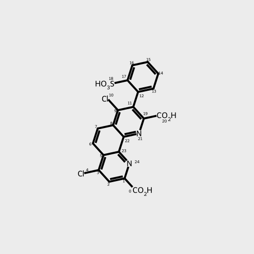 O=C(O)c1cc(Cl)c2ccc3c(Cl)c(-c4ccccc4S(=O)(=O)O)c(C(=O)O)nc3c2n1